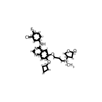 CN(CCCOc1cc2c(Nc3ccc(F)c(Cl)c3)ncnc2cc1OC1CCC1)C1COC(=O)C1